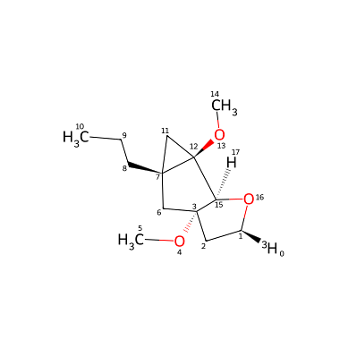 [3H][C@H]1C[C@@]2(OC)C[C@]3(CCC)C[C@]3(OC)[C@H]2O1